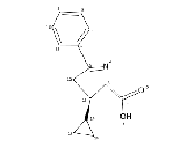 O=C(O)[C@H]1N=C(c2ccccc2)C[C@@H]1C1CC1